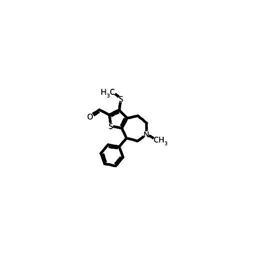 CSc1c(C=O)sc2c1CCN(C)CC2c1ccccc1